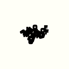 CCn1ncc2c(NC3CCOCC3)c(C(=O)NCc3ccccc3OC(F)F)cnc21